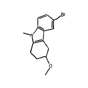 COC1CCc2c(c3cc(Br)ccc3n2C)C1